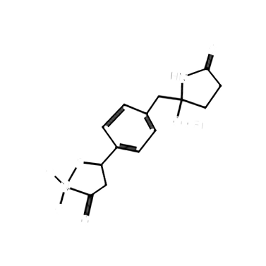 CCOC(=O)C1(Cc2ccc(C3CC(=O)[N+]([O-])([O-])S3)cc2)CCC(=O)N1